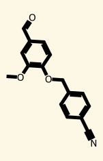 COc1cc(C=O)ccc1OCc1ccc(C#N)cc1